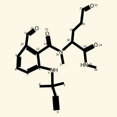 C#CC(C)(C)Nc1cccc(C=O)c1C(=O)N(C)C(CCC=O)C(=O)NC